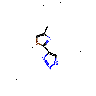 Cc1csc(-c2c[nH]nn2)n1